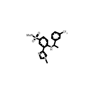 CNS(=O)(=O)c1ccc(NC(C)c2cccc(C(F)(F)F)c2)c(-c2cn(C)cn2)c1